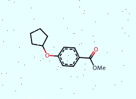 COC(=O)c1ccc(OC2CCCC2)cc1